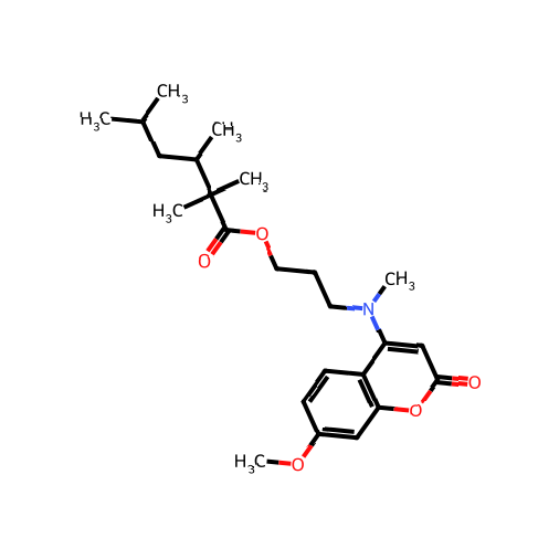 COc1ccc2c(N(C)CCCOC(=O)C(C)(C)C(C)CC(C)C)cc(=O)oc2c1